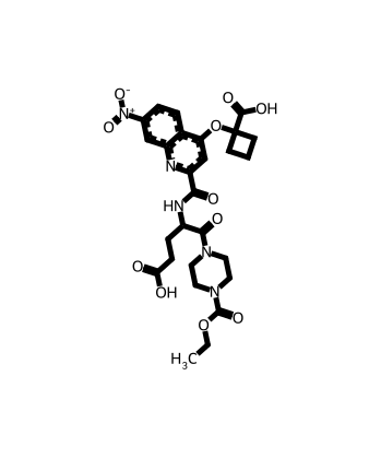 CCOC(=O)N1CCN(C(=O)C(CCC(=O)O)NC(=O)c2cc(OC3(C(=O)O)CCC3)c3ccc([N+](=O)[O-])cc3n2)CC1